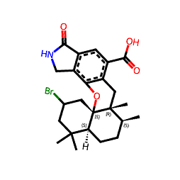 C[C@H]1CC[C@H]2C(C)(C)CC(Br)C[C@]23Oc2c(c(C(=O)O)cc4c2CNC4=O)C[C@]13C